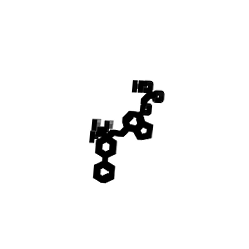 O=C(O)COc1ccc(CCC2(C(F)(F)F)C=CC(c3ccccc3)C=C2)c2c1CCC2